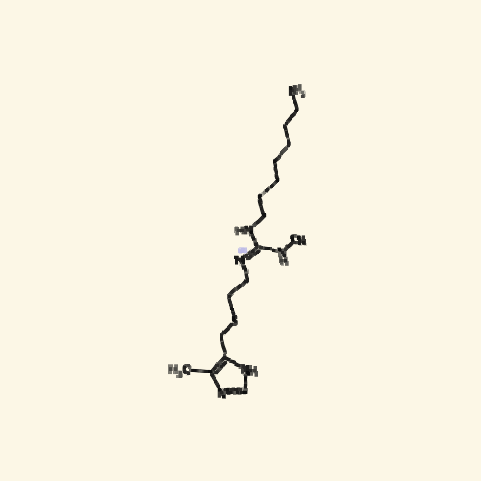 Cc1nc[nH]c1CSCC/N=C(\NC#N)NCCCCCCCN